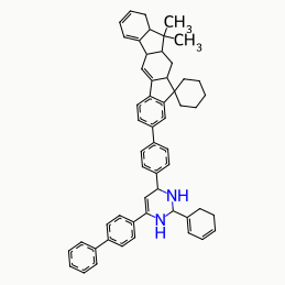 CC1(C)C2CC=CC=C2C2C=C3c4ccc(-c5ccc(C6C=C(c7ccc(-c8ccccc8)cc7)NC(C7=CC=CCC7)N6)cc5)cc4C4(CCCCC4)C3CC21